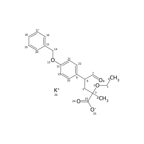 CCOC(C)(CC(C=O)c1ccc(OCc2ccccc2)cc1)C(=O)[O-].[K+]